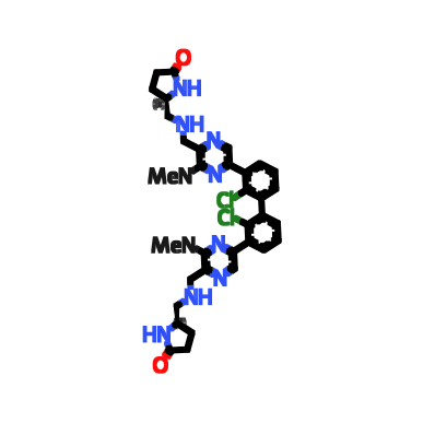 CNc1nc(-c2cccc(-c3cccc(-c4cnc(CNC[C@H]5CCC(=O)N5)c(NC)n4)c3Cl)c2Cl)cnc1CNC[C@H]1CCC(=O)N1